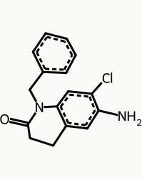 Nc1cc2c(cc1Cl)N(Cc1ccccc1)C(=O)CC2